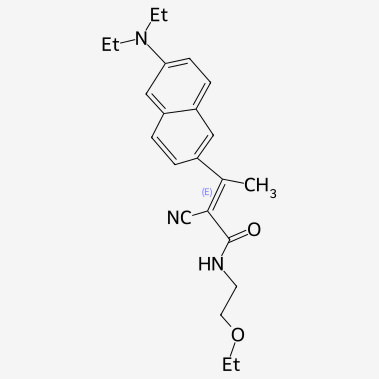 CCOCCNC(=O)/C(C#N)=C(\C)c1ccc2cc(N(CC)CC)ccc2c1